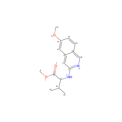 COC(=O)C(Nc1cc2cc(OC)ccc2cn1)C(C)C